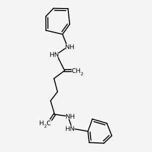 C=C(CCCC(=C)NNc1ccccc1)NNc1ccccc1